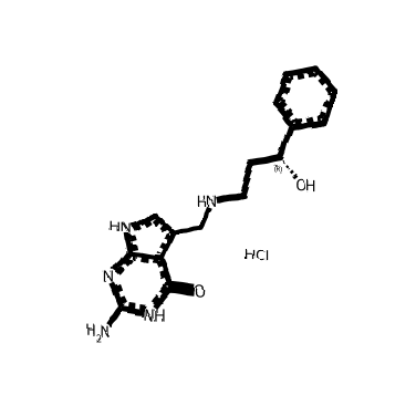 Cl.Nc1nc2[nH]cc(CNCC[C@@H](O)c3ccccc3)c2c(=O)[nH]1